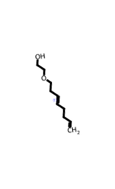 C=CCC/C=C/CCOCCO